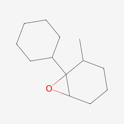 CC1CCCC2OC12C1CCCCC1